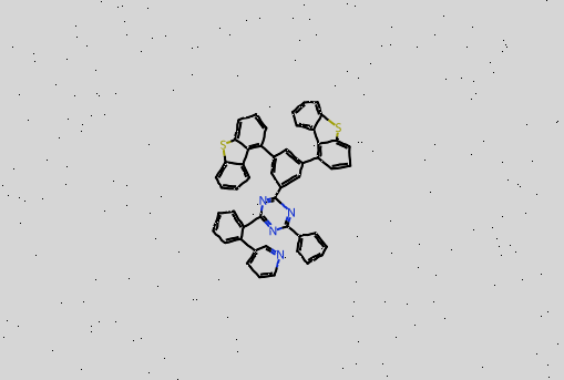 c1ccc(-c2nc(-c3cc(-c4cccc5sc6ccccc6c45)cc(-c4cccc5sc6ccccc6c45)c3)nc(-c3ccccc3-c3cccnc3)n2)cc1